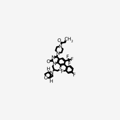 C=CC(=O)N1CCN(c2nc(=O)n3c4c(c(-c5ccc(F)cc5F)c(C(F)(F)F)cc24)SCC(N2C[C@@H]4C[C@H]2CO4)C3)CC1